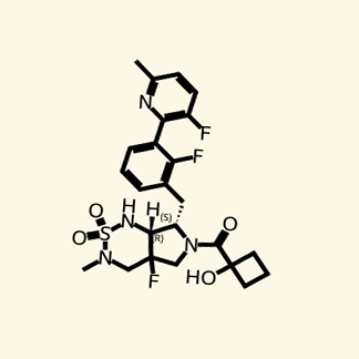 Cc1ccc(F)c(-c2cccc(C[C@H]3[C@H]4NS(=O)(=O)N(C)CC4(F)CN3C(=O)C3(O)CCC3)c2F)n1